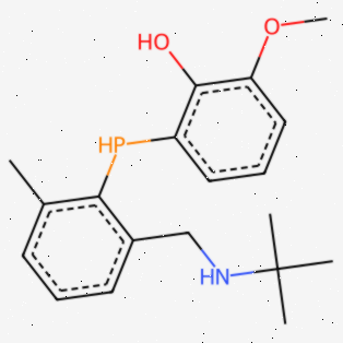 COc1cccc(Pc2c(C)cccc2CNC(C)(C)C)c1O